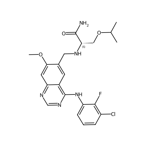 COc1cc2ncnc(Nc3cccc(Cl)c3F)c2cc1CN[C@@H](COC(C)C)C(N)=O